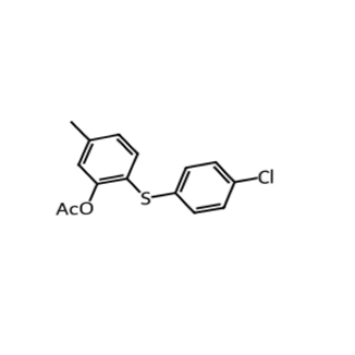 CC(=O)Oc1cc(C)ccc1Sc1ccc(Cl)cc1